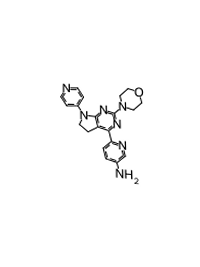 Nc1ccc(-c2nc(N3CCOCC3)nc3c2CCN3c2ccncc2)nc1